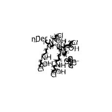 CCCCCCCCCCCc1n(CCCNCC(O)CCl)cc[n+]1CC(O)CCl.CCCCCCCCCCCc1n(CCCNCC(O)CCl)cc[n+]1CC(O)CCl.O=S(=O)([O-])[O-]